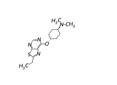 CCc1nc2c(O[C@H]3CC[C@H](N(C)C)CC3)ncnc2s1